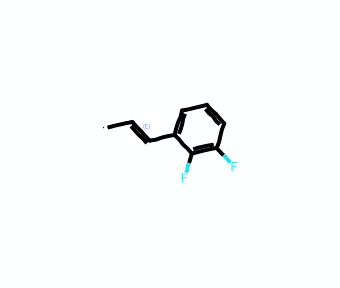 [CH2]/C=C/c1cccc(F)c1F